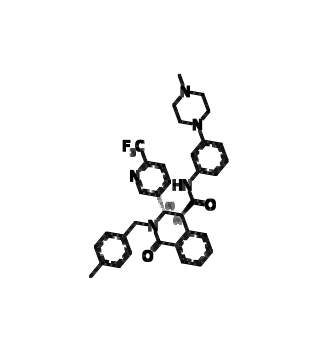 Cc1ccc(CN2C(=O)c3ccccc3[C@H](C(=O)Nc3cccc(N4CCN(C)CC4)c3)[C@H]2c2ccc(C(F)(F)F)nc2)cc1